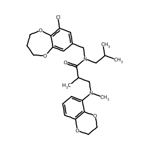 CC(C)CN(Cc1cc(Cl)c2c(c1)OCCCO2)C(=O)C(C)CN(C)c1cccc2c1OCCO2